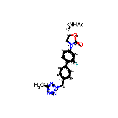 CC(=O)NC[C@H]1CN(c2ccc(-c3ccc(Cn4nnc(C)n4)cc3)c(F)c2)C(=O)O1